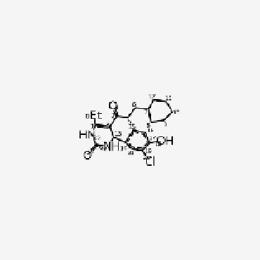 CCC1=C(C(=O)CCC2CCCCC2)C(c2ccc(O)c(Cl)c2)NC(=O)N1